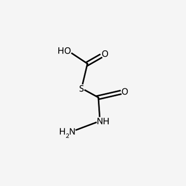 NNC(=O)SC(=O)O